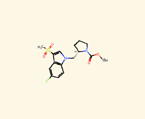 CC(C)(C)OC(=O)N1CCC[C@H]1Cn1cc(S(C)(=O)=O)c2cc(F)ccc21